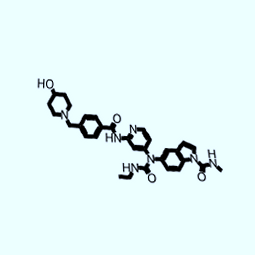 CCNC(=O)N(c1ccnc(NC(=O)c2ccc(CN3CCC(O)CC3)cc2)c1)c1ccc2c(ccn2C(=O)NC)c1